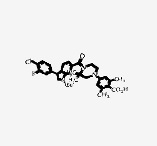 Cc1cc(N2CCN(C(=O)c3ccc4c(-c5ccc(Cl)c(F)c5)cn(C(C)(C)C)c4n3)C(C)(C)C2)cc(C)c1C(=O)O